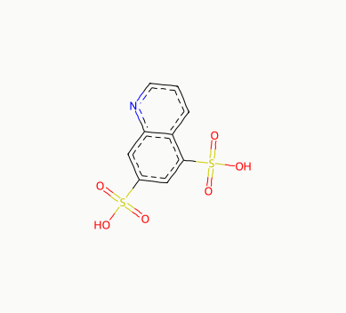 O=S(=O)(O)c1cc(S(=O)(=O)O)c2cccnc2c1